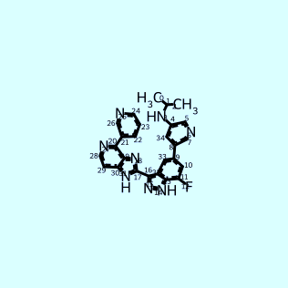 CC(C)Nc1cncc(-c2cc(F)c3[nH]nc(-c4nc5c(-c6cccnc6)nccc5[nH]4)c3c2)c1